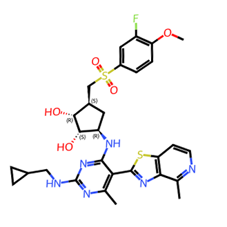 COc1ccc(S(=O)(=O)C[C@H]2C[C@@H](Nc3nc(NCC4CC4)nc(C)c3-c3nc4c(C)nccc4s3)[C@H](O)[C@@H]2O)cc1F